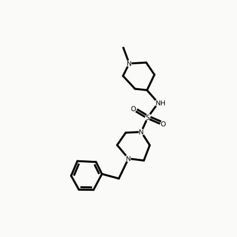 CN1CCC(NS(=O)(=O)N2CCN(Cc3ccccc3)CC2)CC1